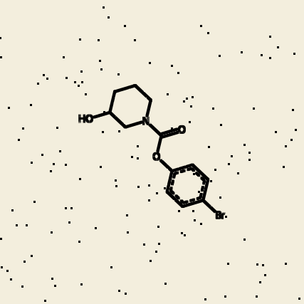 O=C(Oc1ccc(Br)cc1)N1CCCC(O)C1